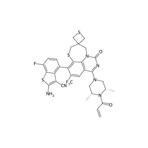 C=CC(=O)N1[C@H](C)CN(c2nc(=O)n3c4c(c(-c5ccc(F)c6sc(N)c(C#N)c56)c(C(F)(F)F)cc24)SCC2(CSC2)C3)C[C@@H]1C